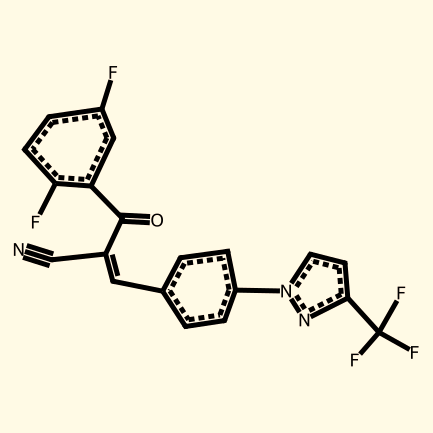 N#CC(=Cc1ccc(-n2ccc(C(F)(F)F)n2)cc1)C(=O)c1cc(F)ccc1F